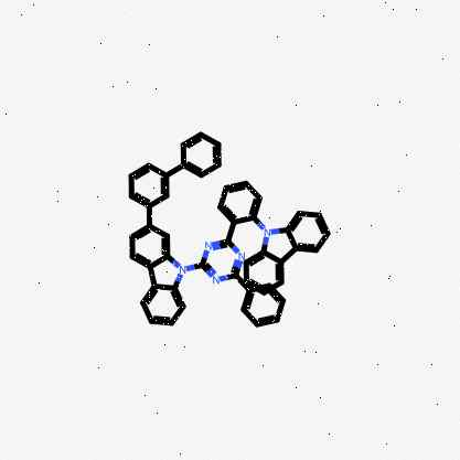 c1ccc(-c2cccc(-c3ccc4c5ccccc5n(-c5nc(-c6ccccc6)nc(-c6ccccc6-n6c7ccccc7c7ccccc76)n5)c4c3)c2)cc1